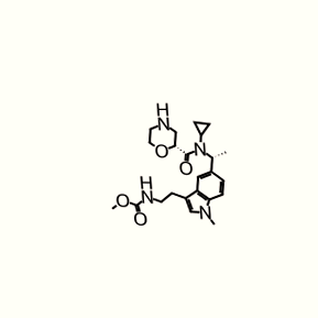 COC(=O)NCCc1cn(C)c2ccc([C@@H](C)N(C(=O)[C@H]3CNCCO3)C3CC3)cc12